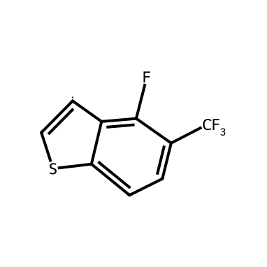 Fc1c(C(F)(F)F)ccc2sc[c]c12